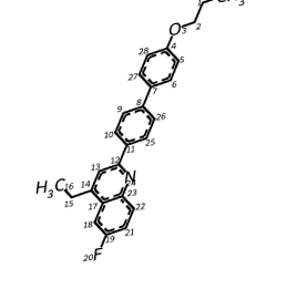 CCCOc1ccc(-c2ccc(-c3cc(CC)c4cc(F)ccc4n3)cc2)cc1